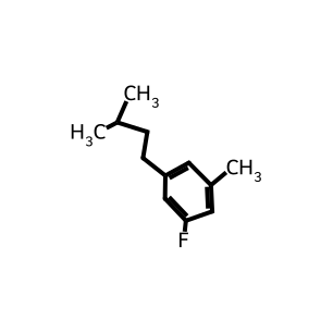 Cc1cc(F)cc(CCC(C)C)c1